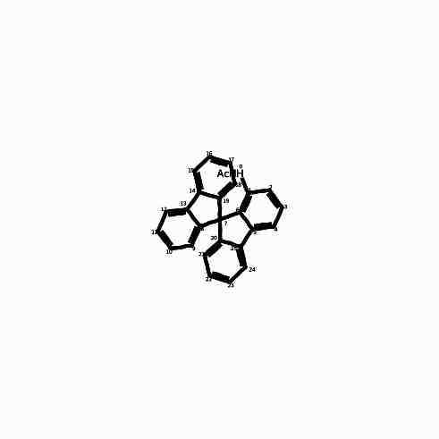 CC(=O)Nc1cccc2c1C1(c3ccccc3-c3ccccc31)c1ccccc1-2